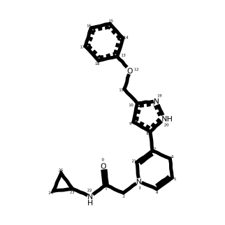 O=C(CN1C=CCC(c2cc(COc3ccccc3)n[nH]2)=C1)NC1CC1